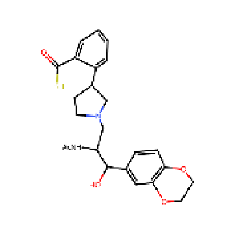 CC(=O)NC(CN1CCC(c2ccccc2C(=O)S)C1)C(O)c1ccc2c(c1)OCCO2